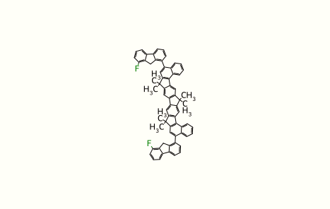 CC1(C)c2cc3c(cc2-c2cc4c(cc21)-c1c(cc(-c2cccc5c2Cc2c(F)cccc2-5)c2ccccc12)C4(C)C)C(C)(C)c1cc(-c2cccc4c2Cc2c(F)cccc2-4)c2ccccc2c1-3